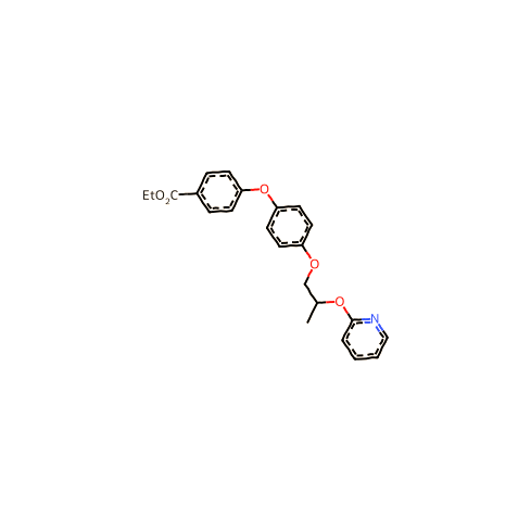 CCOC(=O)c1ccc(Oc2ccc(OCC(C)Oc3ccccn3)cc2)cc1